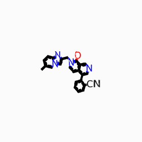 Cc1ccc2nc(Cn3ccc4c(-c5ccccc5C#N)cncc4c3=O)cn2c1